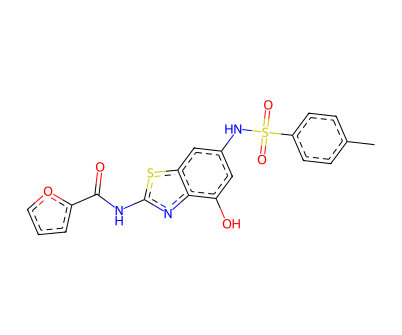 Cc1ccc(S(=O)(=O)Nc2cc(O)c3nc(NC(=O)c4ccco4)sc3c2)cc1